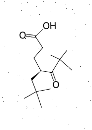 CC(C)(C)C[C@@H](CCC(=O)O)C(=O)C(C)(C)C